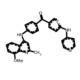 COc1cccc2c(Nc3ccc(C(=O)c4ccc(Nc5ccncc5)cc4)cc3)cc(C)nc12